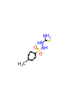 Cc1ccc(S(=O)(=O)NNC(N)=S)cc1